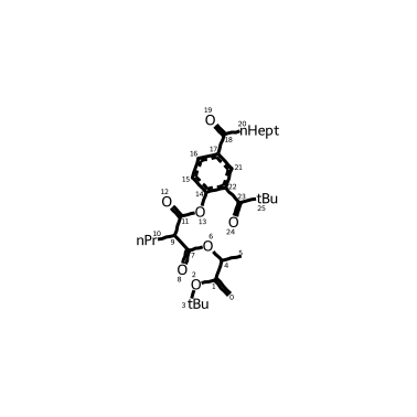 C=C(OC(C)(C)C)C(C)OC(=O)C(CCC)C(=O)Oc1ccc(C(=O)CCCCCCC)cc1C(=O)C(C)(C)C